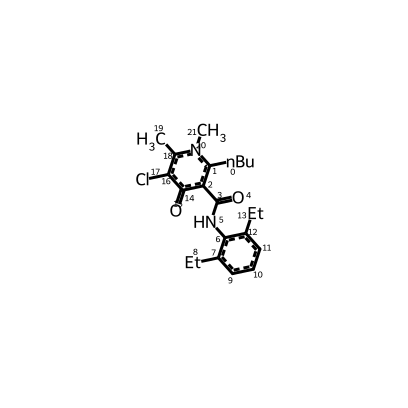 CCCCc1c(C(=O)Nc2c(CC)cccc2CC)c(=O)c(Cl)c(C)n1C